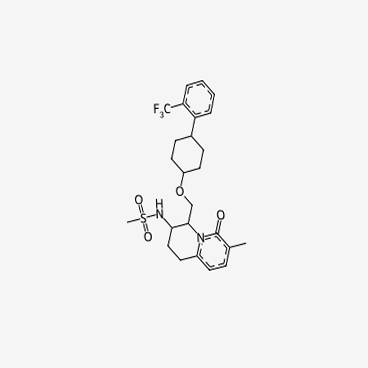 Cc1ccc2n(c1=O)C(COC1CCC(c3ccccc3C(F)(F)F)CC1)C(NS(C)(=O)=O)CC2